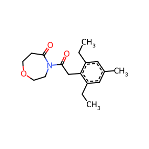 CCc1cc(C)cc(CC)c1CC(=O)N1CCOCCC1=O